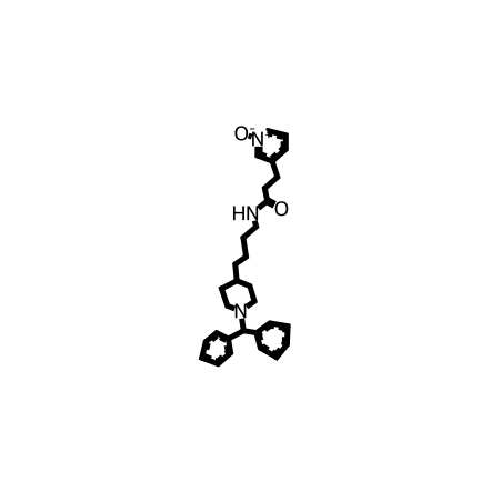 O=C(CCc1ccc[n+]([O-])c1)NCCCCC1CCN(C(c2ccccc2)c2ccccc2)CC1